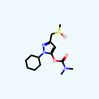 CN(C)C(=O)Oc1cc(C[S+](C)[O-])nn1C1CCCCC1